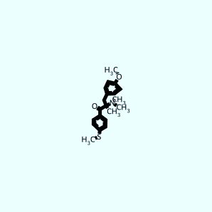 COc1ccc(CC(C)(C(=O)c2ccc(SC)cc2)N(C)C)cc1